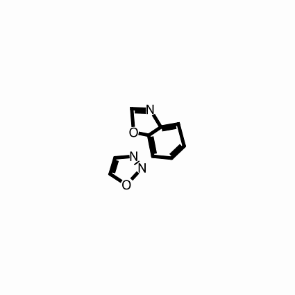 c1ccc2ocnc2c1.c1conn1